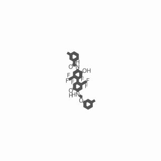 Cc1cccc(OCNc2cc(C(F)(F)F)c(-c3cc(O)c(NC(=O)c4cccc(C)c4)cc3C(F)(F)F)cc2O)c1